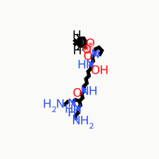 CC1(C)[C@@H]2CC3OB([C@@H]4CCCN4C(=O)CN[C@H](O)CCCCCNC(=O)CC(CNCCN)CNCCN)O[C@@]3(C)[C@H]1C2